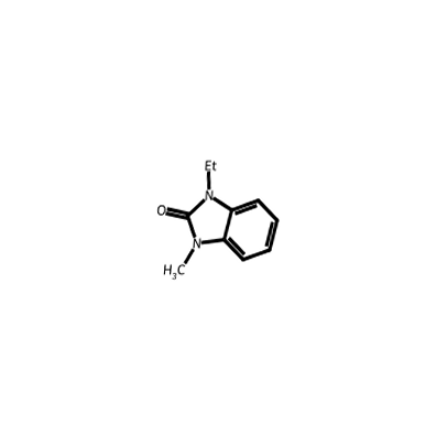 CCn1c(=O)n(C)c2ccccc21